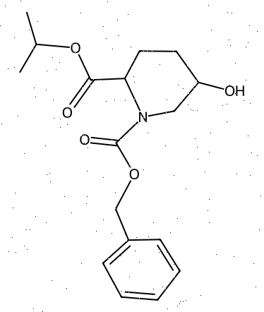 CC(C)OC(=O)C1CCC(O)CN1C(=O)OCc1ccccc1